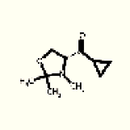 CN1[C@@H](C(=O)C2CC2)COC1(C)C